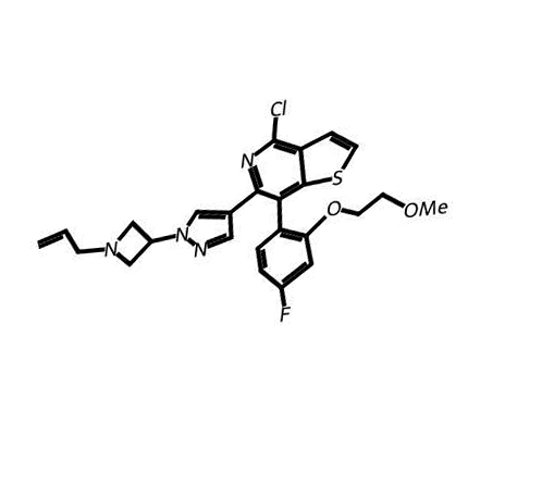 C=CCN1CC(n2cc(-c3nc(Cl)c4ccsc4c3-c3ccc(F)cc3OCCOC)cn2)C1